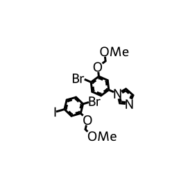 COCOc1cc(-n2ccnc2)ccc1Br.COCOc1cc(I)ccc1Br